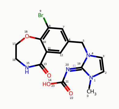 Cn1ccn(Cc2cc(Br)c3c(c2)C(=O)NCCO3)/c1=N/C(=O)O